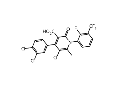 Cc1c(Cl)c(-c2ccc(Cl)c(Cl)c2)c(C(=O)O)c(=O)n1-c1cccc(C(F)(F)F)c1F